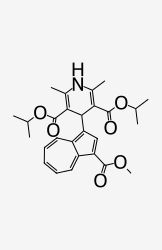 COC(=O)c1cc(C2C(C(=O)OC(C)C)=C(C)NC(C)=C2C(=O)OC(C)C)c2cccccc1-2